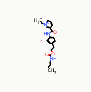 CCCCNC(=O)OCCc1ccc(NC(=O)c2ccc[n+](CC)c2)cc1.[I-]